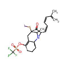 C=C(C)/C=C\C=C/C1C(=O)C2(SI)CC3=C(OS(=O)(=O)C(F)(F)F)CCCC3N1C2C